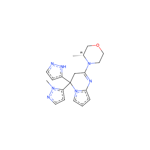 C[C@@H]1COCCN1C1=Nc2cccn2C(c2ccn[nH]2)(c2ccnn2C)C1